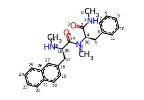 CNC(=O)[C@@H](Cc1ccccc1)N(C)C(=O)[C@@H](Cc1ccc2ccccc2c1)NC